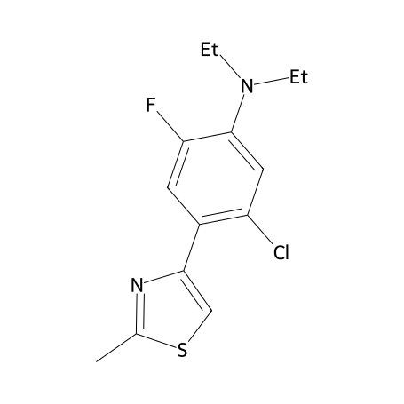 CCN(CC)c1cc(Cl)c(-c2csc(C)n2)cc1F